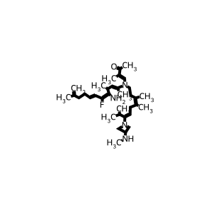 C=C(C)CC/C=C/C(F)=C(/N)C(C)/C=C(\C)N(/C=C(\C)C(C)=O)CC/C(C)=C(/C)C/C=C(\C(C)C)N1CC(NC)C1